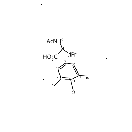 CC(=O)NC(C(=O)O)C(C)C.Cc1cccc(C)c1C